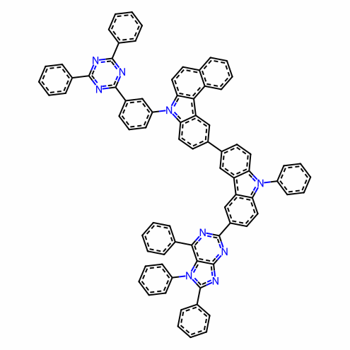 c1ccc(-c2nc(-c3ccccc3)nc(-c3cccc(-n4c5ccc(-c6ccc7c(c6)c6cc(-c8nc(-c9ccccc9)c9c(n8)nc(-c8ccccc8)n9-c8ccccc8)ccc6n7-c6ccccc6)cc5c5c6ccccc6ccc54)c3)n2)cc1